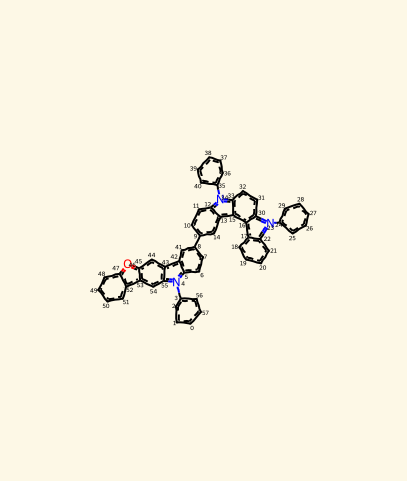 c1ccc(-n2c3ccc(-c4ccc5c(c4)c4c6c7ccccc7n(-c7ccccc7)c6ccc4n5-c4ccccc4)cc3c3cc4oc5ccccc5c4cc32)cc1